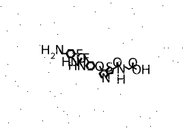 NCc1ccc(F)c(NC(=O)Nc2ccc(Oc3ccnc4cc(C(=O)NCCC(=O)O)sc34)cc2F)c1